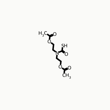 CC(=O)OCCN(CCOC(C)=O)C(=O)S